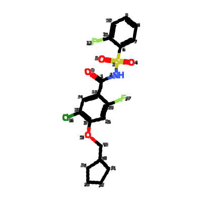 O=C(NS(=O)(=O)c1ccccc1F)c1cc(Cl)c(OCC2CCCC2)cc1F